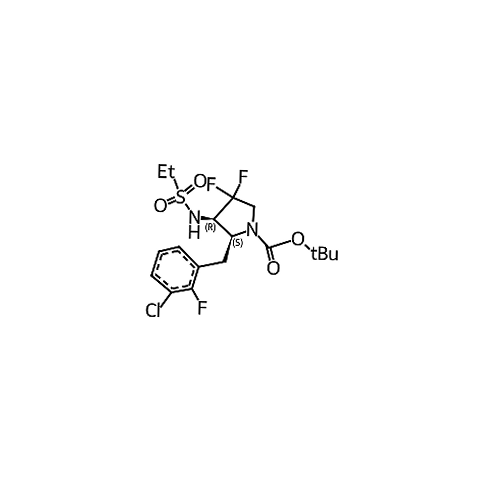 CCS(=O)(=O)N[C@@H]1[C@H](Cc2cccc(Cl)c2F)N(C(=O)OC(C)(C)C)CC1(F)F